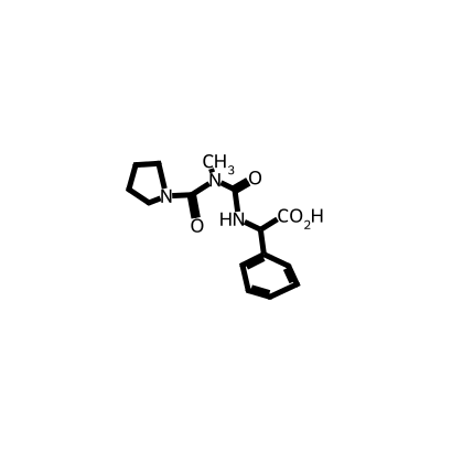 CN(C(=O)NC(C(=O)O)c1ccccc1)C(=O)N1CCCC1